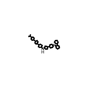 C=C(C)c1ccc(-c2ccc(-c3ccc(Nc4ccc(-c5ccc(-n6c7ccccc7c7ccccc76)cc5)cc4)cc3)cc2)cc1